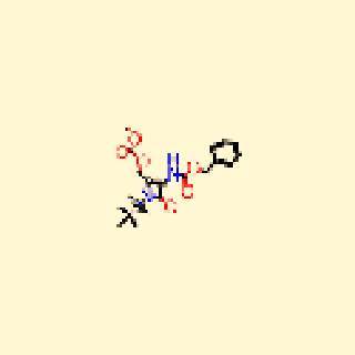 COC(=O)OC[C@H]1[C@@H](NC(=O)OCc2ccccc2)C(=O)N1[Si](C)(C)C(C)(C)C